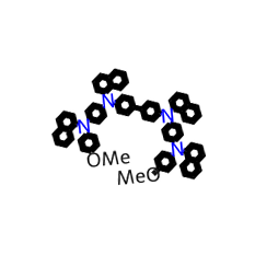 COc1ccc(N(c2ccc(N(c3ccc(-c4ccc(N(c5ccc(N(c6ccc(OC)cc6)c6cccc7ccccc67)cc5)c5cccc6ccccc56)cc4)cc3)c3cccc4ccccc34)cc2)c2cccc3ccccc23)cc1